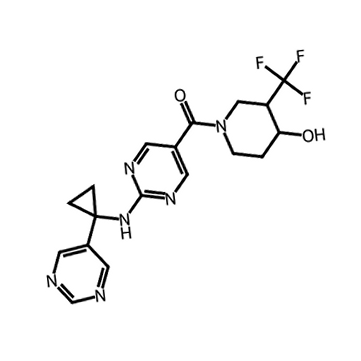 O=C(c1cnc(NC2(c3cncnc3)CC2)nc1)N1CCC(O)C(C(F)(F)F)C1